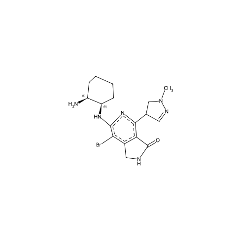 CN1CC(c2nc(N[C@@H]3CCCC[C@@H]3N)c(Br)c3c2C(=O)NC3)C=N1